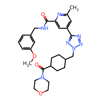 COc1cccc(CNC(=O)c2cc(-c3nnn(CC4CCC(C(=O)N5CCOCC5)CC4)n3)cc(C)n2)c1